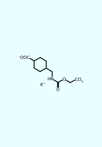 O=C(NCC1CCC(C(=O)[O-])CC1)OCC(Cl)(Cl)Cl.[K+]